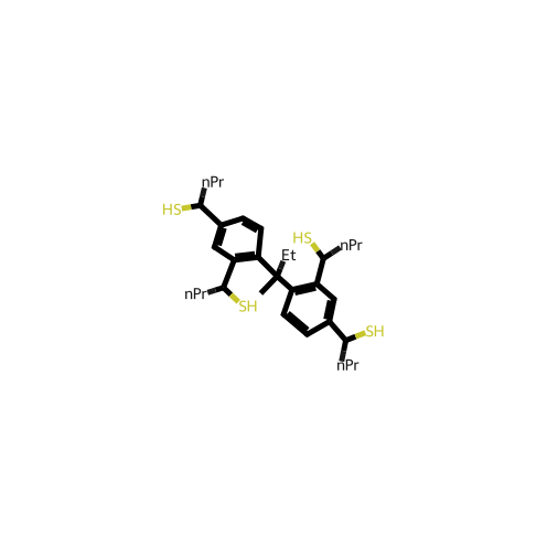 CCCC(S)c1ccc(C(C)(CC)c2ccc(C(S)CCC)cc2C(S)CCC)c(C(S)CCC)c1